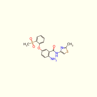 Cc1nc(NC(=O)c2cc(Oc3ccccc3S(C)(=O)=O)ccc2N)cs1